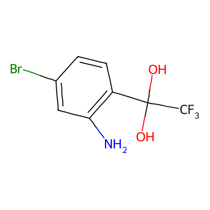 Nc1cc(Br)ccc1C(O)(O)C(F)(F)F